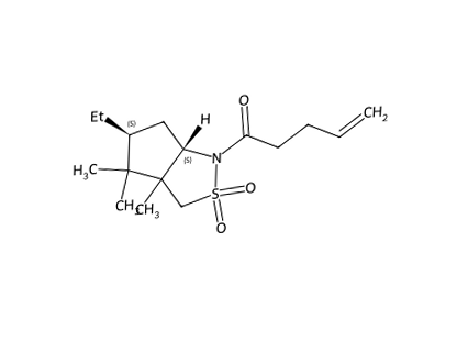 C=CCCC(=O)N1[C@H]2C[C@H](CC)C(C)(C)C2(C)CS1(=O)=O